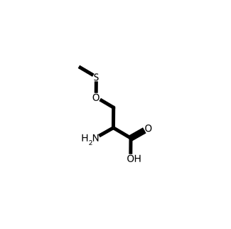 CSOCC(N)C(=O)O